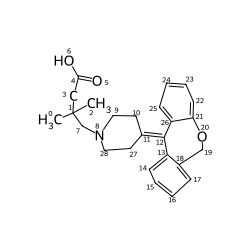 CC(C)(CC(=O)O)CN1CCC(=C2c3ccccc3COc3ccccc32)CC1